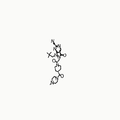 CN1CCN(C(=O)C2CCN(C(=O)Cn3c(=O)c4cnc(C#N)nc4n3CC(C)(C)C)CC2)CC1